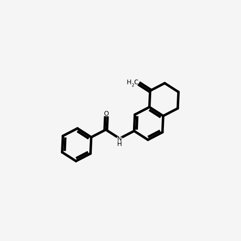 C=C1CCCc2ccc(NC(=O)c3ccccc3)cc21